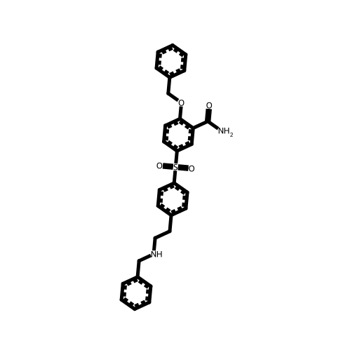 NC(=O)c1cc(S(=O)(=O)c2ccc(CCNCc3ccccc3)cc2)ccc1OCc1ccccc1